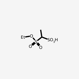 CCOS(=O)(=O)C(C)S(=O)(=O)O